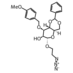 COc1ccc(CO[C@@H]2[C@H](O)[C@@H](OCCN=[N+]=[N-])O[C@@H]3COC(c4ccccc4)O[C@@H]23)cc1